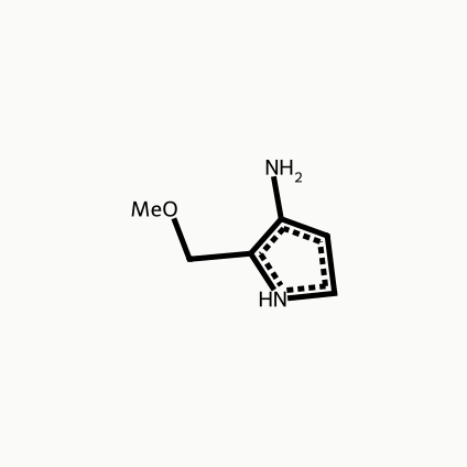 COCc1[nH]ccc1N